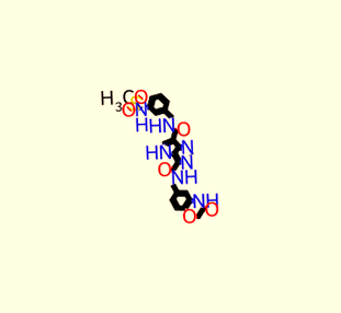 CS(=O)(=O)Nc1cccc(CNC(=O)c2c[nH]c3c(C(=O)NCc4ccc5c(c4)NC(=O)CO5)ncnc23)c1